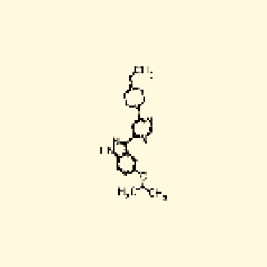 CCN1CCN(c2cc(-c3n[nH]c4ccc(OC(C)C)cc34)ncn2)CC1